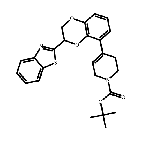 CC(C)(C)OC(=O)N1CC=C(c2cccc3c2OC(c2nc4ccccc4s2)CO3)CC1